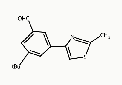 Cc1nc(-c2cc([C]=O)cc(C(C)(C)C)c2)cs1